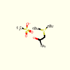 CCCC[S+](CCCC)CC(=O)CCC.O=S(=O)([O-])C(F)(F)F